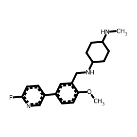 CNC1CCC(NCc2cc(-c3ccc(F)nc3)ccc2OC)CC1